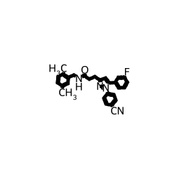 Cc1ccc(C)c(CNC(=O)CCc2cc(-c3cccc(F)c3)n(-c3ccc(C#N)cc3)n2)c1